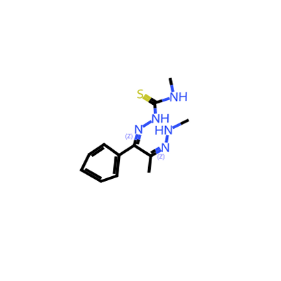 CN/N=C(C)\C(=N/NC(=S)NC)c1ccccc1